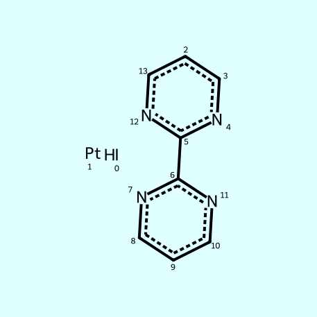 I.[Pt].c1cnc(-c2ncccn2)nc1